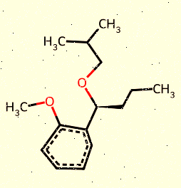 CCC[C@H](OCC(C)C)c1ccccc1OC